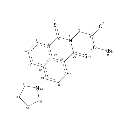 CC(C)(C)OC(=O)CN1C(=S)c2cccc3c(N4CCCC4)ccc(c23)C1=S